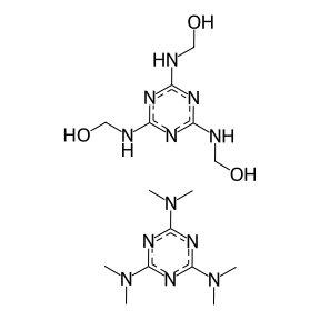 CN(C)c1nc(N(C)C)nc(N(C)C)n1.OCNc1nc(NCO)nc(NCO)n1